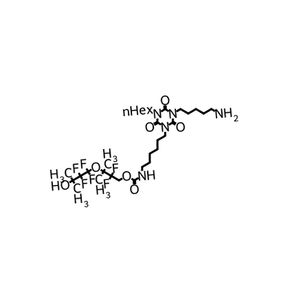 CCCCCCn1c(=O)n(CCCCCN)c(=O)n(CCCCCCNC(=O)OCC(F)(F)C(C)(C)OC(F)(F)C(F)(F)C(C)(C)O)c1=O